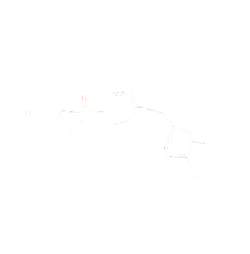 C=P(O)(O)CS(=O)(=O)c1cc(C)c(Cc2ccc(O)c(C(C)C)c2)c(C)c1